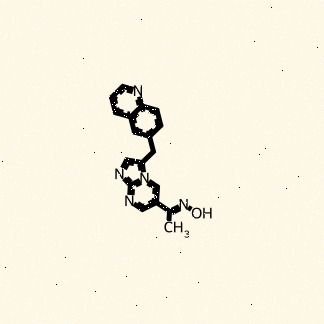 CC(=NO)c1cnc2ncc(Cc3ccc4ncccc4c3)n2c1